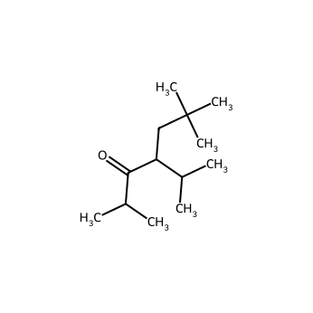 CC(C)C(=O)C(CC(C)(C)C)C(C)C